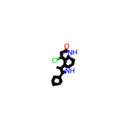 Cc1c(-c2ccccc2)[nH]c2ccc3[nH]c(=O)cc(Cl)c3c12